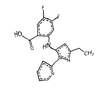 CCc1cc(Nc2cc(F)c(F)cc2C(=O)O)n(-c2ccccn2)n1